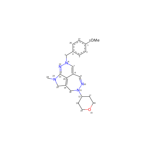 COc1ccc(CN2C=C3C=NN(C4CCOCC4)CC4=C3C(=N2)N(C)C4)cc1